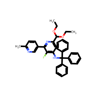 CCOC(OCC)c1cc(NC(c2ccccc2)(c2ccccc2)c2ccccc2)c(F)c(-c2ccc(C)nc2)n1